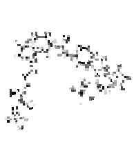 Cc1nn(CCCNC(=O)OC(C)(C)C)c2cc(C(=O)Nc3cc4c(cn3)cc([C@H]3CCCN3C)n4C(=O)OC(C)(C)C)ccc12